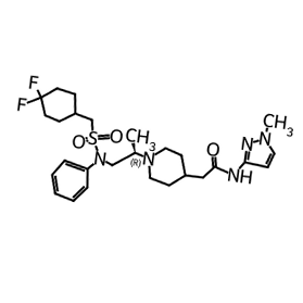 C[C@H](CN(c1ccccc1)S(=O)(=O)CC1CCC(F)(F)CC1)N1CCC(CC(=O)Nc2ccn(C)n2)CC1